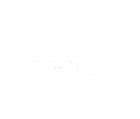 COc1cccc(C2(C)CC(Nc3cc(Cl)cc(Cl)c3)C(=O)O2)c1